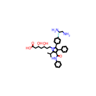 CC(C)c1c(C(=O)Nc2ccccc2)c(-c2ccccc2)c(-c2ccc(F)cc2)n1CC[C@@H](O)C[C@@H](O)CC(=O)O.NCCN